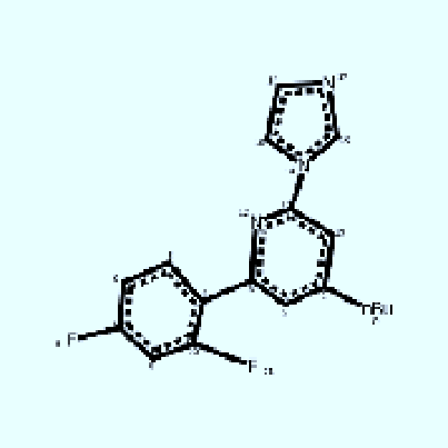 CCCCc1cc(-c2ccc(F)cc2F)nc(-n2ccnc2)c1